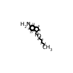 CCCCCO/N=C1\CCc2cc(N)ccc21